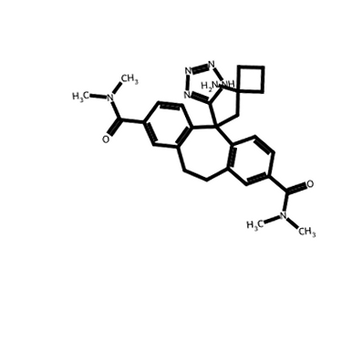 CN(C)C(=O)c1ccc2c(c1)CCc1cc(C(=O)N(C)C)ccc1C2(CC1(N)CCC1)c1nnn[nH]1